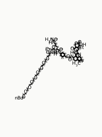 CCCCOCCOCCOCCOCCOCCOCCOCCOCCOCCC(=O)N[C@H](C(=O)N[C@@H](CCCNC(N)=O)C(=O)Nc1ccc(COC(=O)N[C@H]2CCc3c(C)c(F)cc4nc5c(c2c34)Cn2c-5cc3c(c2=O)COC(=O)[C@]3(O)CC)cc1)C(C)C